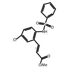 COC(=O)/C=C/c1cc(Cl)ccc1NS(=O)(=O)c1ccccc1